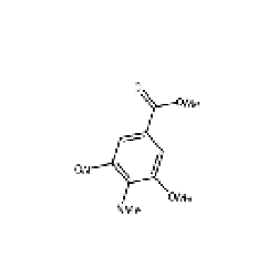 CNc1c(N=O)cc(C(=O)OC)cc1OC